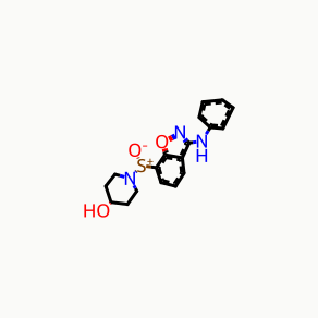 [O-][S+](c1cccc2c(Nc3ccccc3)noc12)N1CCC(O)CC1